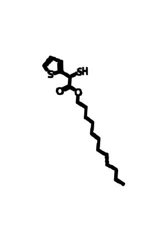 CCCCCCCCCCCCOC(=O)C(S)c1cccs1